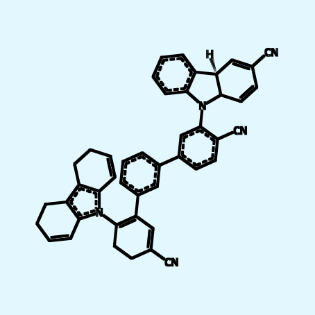 N#CC1=C[C@@H]2c3ccccc3N(c3cc(-c4cccc(C5=C(n6c7c(c8c6C=CCC8)CCC=C7)CCC(C#N)=C5)c4)ccc3C#N)C2C=C1